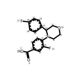 O=C(O)c1ccc(N2CCOCC2c2ccc(F)cc2)c(F)c1